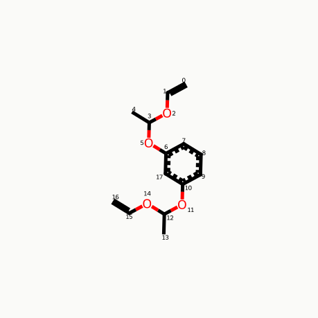 C=COC(C)Oc1cccc(OC(C)OC=C)c1